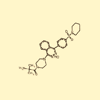 CC(C)(N)C(=O)N1CCN(c2nnc(-c3ccc(S(=O)(=O)N4CCCCC4)cc3)c3ccccc23)CC1.Cl